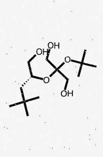 CC(C)(C)C[C@H](CO)OC(CO)(CO)OC(C)(C)C